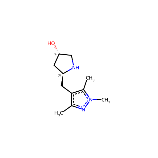 Cc1nn(C)c(C)c1C[C@H]1C[C@H](O)CN1